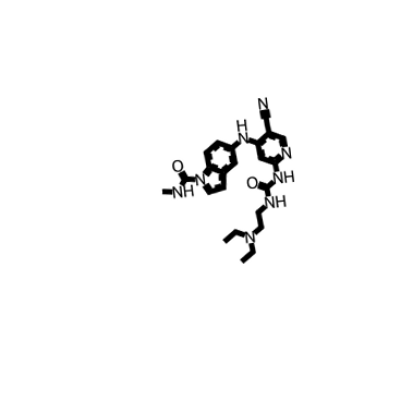 CCN(CC)CCNC(=O)Nc1cc(Nc2ccc3c(ccn3C(=O)NC)c2)c(C#N)cn1